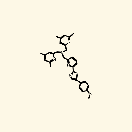 COc1ccc(-c2cnc(-c3cccc(CN(Cc4cc(C)cc(C)n4)Cc4cc(C)cc(C)n4)n3)s2)cc1